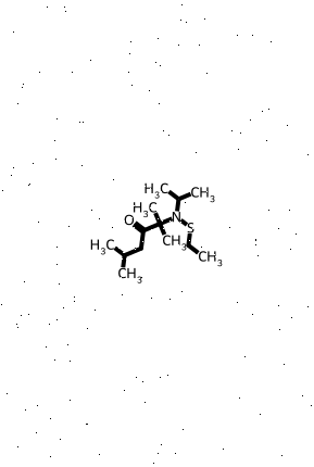 CCSN(C(C)C)C(C)(C)C(=O)CC(C)C